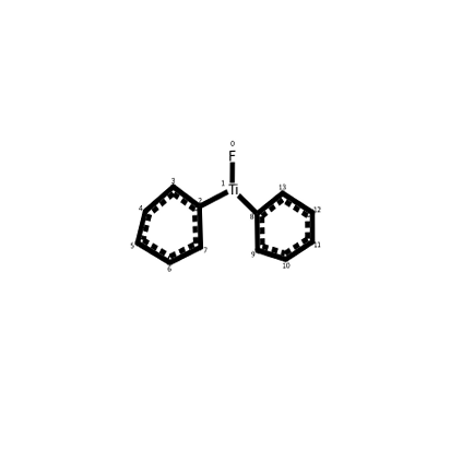 [F][Ti]([c]1ccccc1)[c]1ccccc1